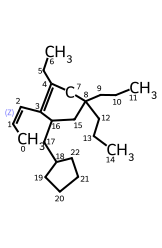 C/C=C\C1=C(CC)CC(CCC)(CCC)CC1CC1CCCC1